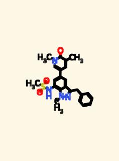 Cc1cc(-c2cc(NS(C)(=O)=O)c3c(c2)c(Cc2ccccc2)nn3C)cn(C)c1=O